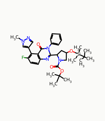 Cn1cc(-c2c(F)ccc3nc(C4CC(O[Si](C)(C)C(C)(C)C)CN4C(=O)OC(C)(C)C)n(-c4ccccc4)c(=O)c23)cn1